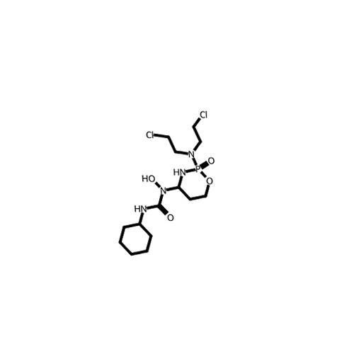 O=C(NC1CCCCC1)N(O)C1CCOP(=O)(N(CCCl)CCCl)N1